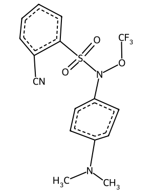 CN(C)c1ccc(N(OC(F)(F)F)S(=O)(=O)c2ccccc2C#N)cc1